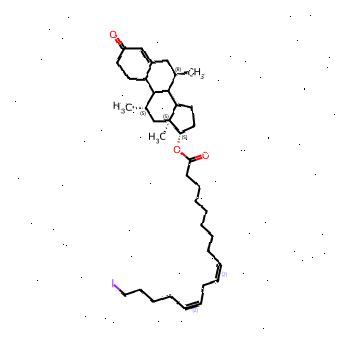 C[C@@H]1CC2=CC(=O)CCC2C2C1C1CC[C@H](OC(=O)CCCCCCC/C=C\C/C=C\CCCCI)[C@@]1(C)C[C@@H]2C